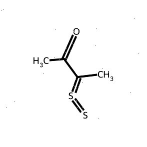 CC(=O)C(C)=S=S